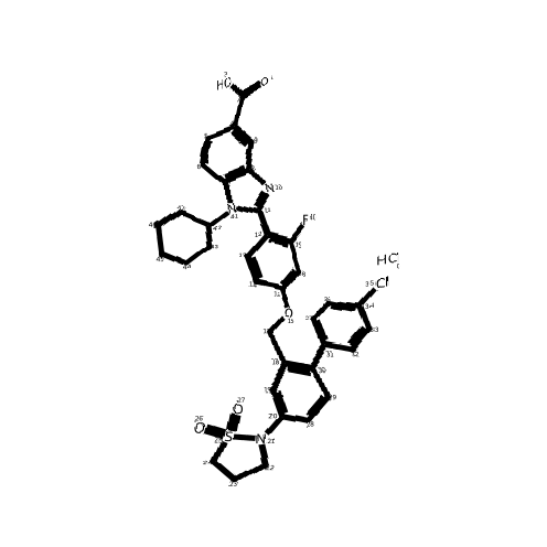 Cl.O=C(O)c1ccc2c(c1)nc(-c1ccc(OCc3cc(N4CCCS4(=O)=O)ccc3-c3ccc(Cl)cc3)cc1F)n2C1CCCCC1